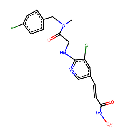 CN(Cc1ccc(F)cc1)C(=O)CNc1ncc(/C=C/C(=O)NO)cc1Cl